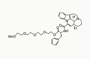 CC[C@@]12C=C(C(=O)N[C@@H](Cc3ccccc3)C(=O)OCCOCCOCCOCCOC)n3c4c(c5ccccc53)CCN(CCC1)[C@H]42